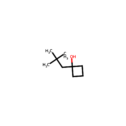 CC(C)(C)CC1(O)CCC1